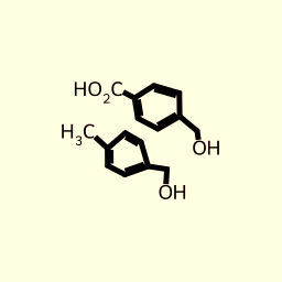 Cc1ccc(CO)cc1.O=C(O)c1ccc(CO)cc1